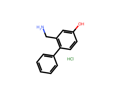 Cl.NCc1cc(O)ccc1-c1ccccc1